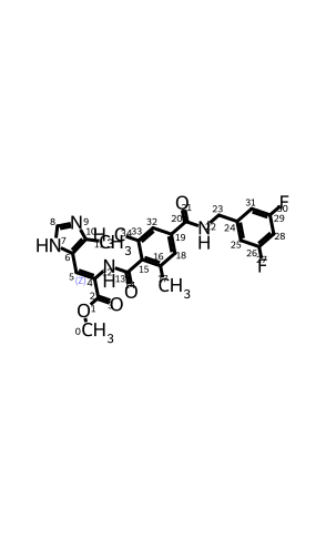 COC(=O)/C(=C/c1[nH]cnc1C)NC(=O)c1c(C)cc(C(=O)NCc2cc(F)cc(F)c2)cc1C